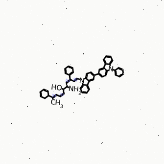 C/C(=C\C=C/C(O)C(N)/C=C(\C=C\n1c2ccccc2c2cc(-c3ccc4c(c3)c3ccccc3n4-c3ccccc3)ccc21)c1ccccc1)C1C=CC=CC1